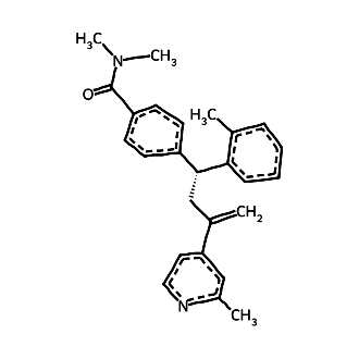 C=C(C[C@H](c1ccc(C(=O)N(C)C)cc1)c1ccccc1C)c1ccnc(C)c1